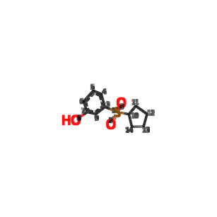 O=S(=O)(c1cccc(O)c1)C1CCCC1